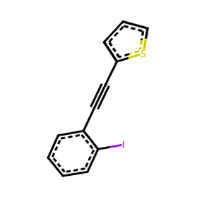 Ic1ccccc1C#Cc1cccs1